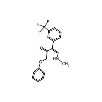 CNC=C(C(=O)COc1ccccc1)c1cccc(C(F)(F)F)c1